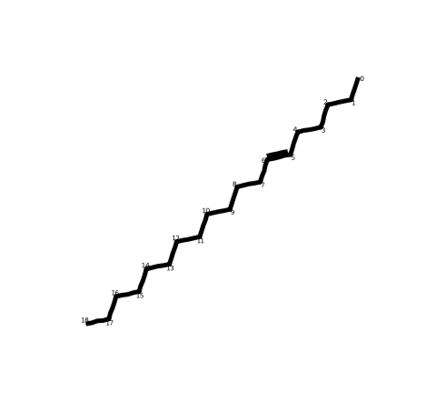 CCCCC/C=C/CCCCCCCCCCCC